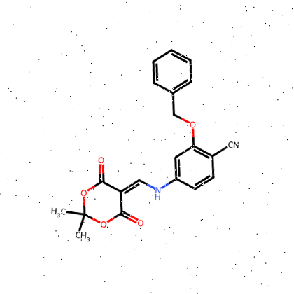 CC1(C)OC(=O)C(=CNc2ccc(C#N)c(OCc3ccccc3)c2)C(=O)O1